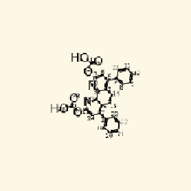 O=C(O)Oc1cc(-c2ccccc2)c2ccc3c(-c4ccccc4)cc(OC(=O)O)nc3c2n1